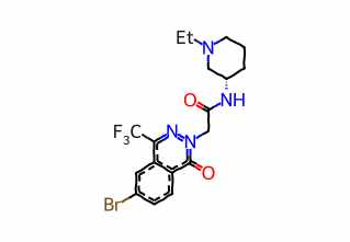 CCN1CCC[C@H](NC(=O)Cn2nc(C(F)(F)F)c3cc(Br)ccc3c2=O)C1